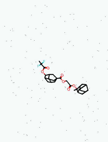 CC(F)(F)C(=O)OC1C2CC3CC1CC(C(=O)OCC(=O)OC1(C)C4CC5CC(C4)CC1C5)(C3)C2